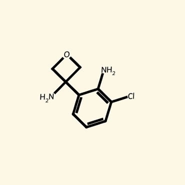 Nc1c(Cl)cccc1C1(N)COC1